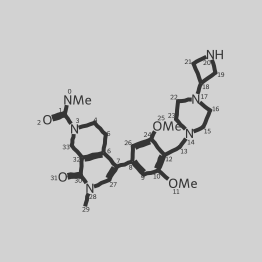 CNC(=O)N1CCc2c(-c3cc(OC)c(CN4CCN(C5CNC5)CC4)c(OC)c3)cn(C)c(=O)c2C1